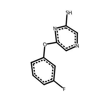 Fc1cccc(Oc2cncc(S)n2)c1